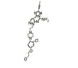 CC#Cc1nc2c3cnn(CCN4CCN(c5ccc(OCCOC)cc5Cl)CC4)c3nc(N)n2n1